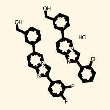 Cl.OCc1cccc(-c2ccc3nc(-c4ccc(F)c(F)c4)cn3c2)c1.OCc1cccc(-c2ccc3nc(-c4ccccc4Cl)cn3c2)c1